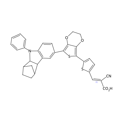 N#C/C(=C\c1ccc(-c2sc(-c3ccc4c(c3)C3C5CCC(C5)C3N4c3ccccc3)c3c2OCCO3)s1)C(=O)O